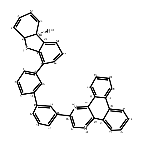 C1=CC2Sc3c(-c4cccc(-c5cccc(-c6cnc7c8ccccc8c8ccccc8c7n6)c5)c4)cccc3[C@@H]2C=C1